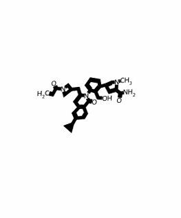 C=CC(=O)N1CC(Cc2cc3cc(C4CC4)ccc3c(=O)n2-c2cccc(-c3cc(C(N)=O)n(C)c3)c2CO)C1